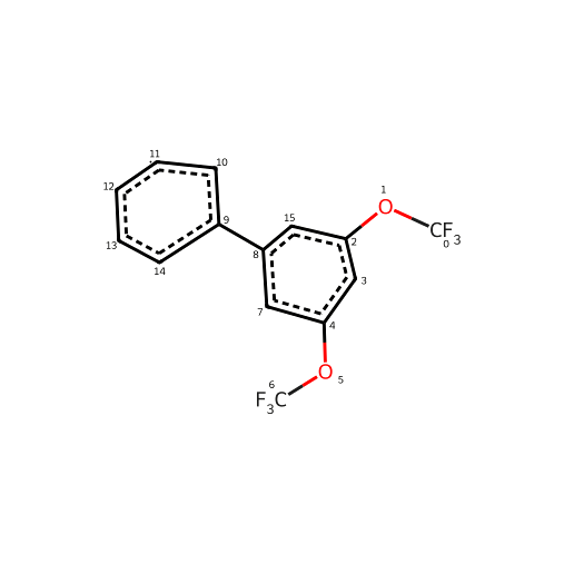 FC(F)(F)Oc1cc(OC(F)(F)F)cc(-c2c[c]ccc2)c1